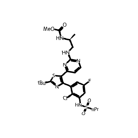 CCCS(=O)(=O)Nc1cc(F)cc(-c2nc(C(C)(C)C)sc2-c2ccnc(NC[C@H](C)NC(=O)OC)n2)c1Cl